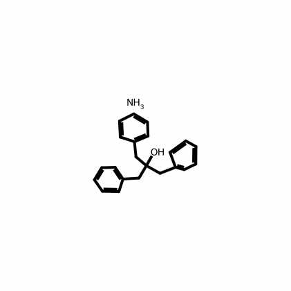 N.OC(Cc1ccccc1)(Cc1ccccc1)Cc1ccccc1